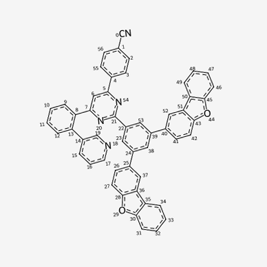 N#Cc1ccc(-c2cc(-c3ccccc3-c3cccnc3)nc(-c3cc(-c4ccc5oc6ccccc6c5c4)cc(-c4ccc5oc6ccccc6c5c4)c3)n2)cc1